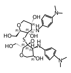 CN(C)c1ccc(N[C@H]2[C@@H](O)CO[C@H](CO)[C@]2(O)S[C@@]2(O)[C@@H](CO)OC[C@H](O)[C@@H]2Nc2ccc(N(C)C)cc2)cc1